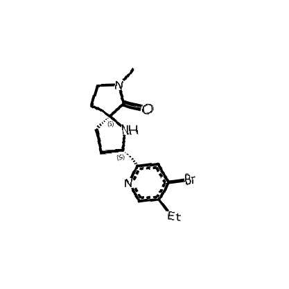 CCc1cnc([C@@H]2CC[C@@]3(CCN(C)C3=O)N2)cc1Br